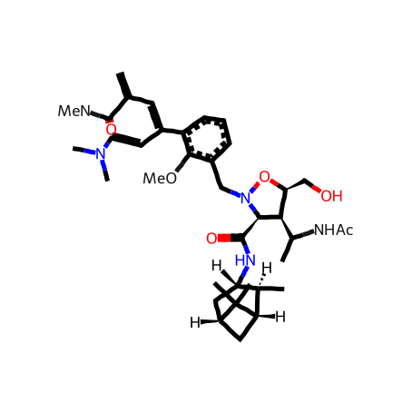 C=C(/C=C(\C=C\N(C)C)c1cccc(CN2O[C@@H](CO)[C@@H](C(C)NC(C)=O)[C@H]2C(=O)N[C@H]2C[C@H]3C[C@@H]([C@@H]2C)C3(C)C)c1OC)C(=O)NC